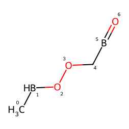 CBOOCB=O